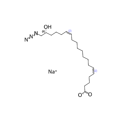 [N-]=[N+]=NC[C@H](O)CCC/C=C\CCCCCCC/C=C\CCCC(=O)[O-].[Na+]